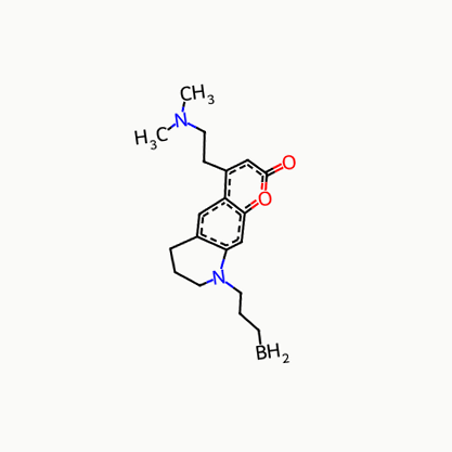 BCCCN1CCCc2cc3c(CCN(C)C)cc(=O)oc3cc21